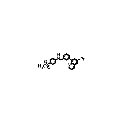 CC(C)c1cc(-c2cccc(CNc3ccc(S(C)(=O)=O)cc3)c2)c2ncccc2c1